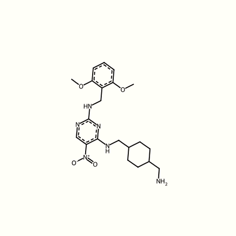 COc1cccc(OC)c1CNc1ncc([N+](=O)[O-])c(NCC2CCC(CN)CC2)n1